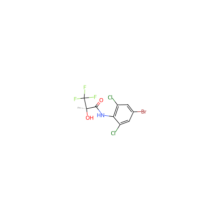 C[C@@](O)(C(=O)Nc1c(Cl)cc(Br)cc1Cl)C(F)(F)F